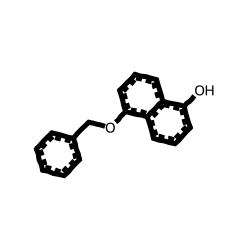 Oc1cccc2c(OCc3ccccc3)cccc12